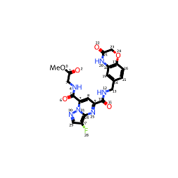 COC(=O)CNC(=O)c1cc(C(=O)NCc2ccc3c(c2)NC(=O)CO3)nc2c(F)cnn12